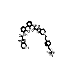 [2H]C([2H])([2H])OCC12CCC(CCN3CCc4c(nc(C(=O)Nc5cccc(-c6cccc(NC(=O)c7nc8c(n7C)CCNC8)c6Cl)c5C)n4C)C3)(CC1)C2